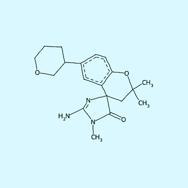 CN1C(=O)C2(CC(C)(C)Oc3ccc(C4CCCOC4)cc32)N=C1N